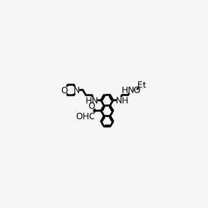 CCONCCNc1ccc(NCCCN2CCOCC2)c2c(C(=O)C=O)c3ccccc3cc12